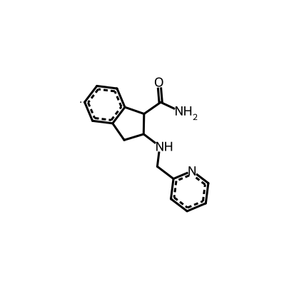 NC(=O)C1c2cc[c]cc2CC1NCc1ccccn1